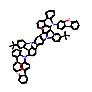 CC(C)(C)c1ccc2c(c1)c1c(N(c3ccc4c(c3)oc3ccccc34)c3ccccc3-c3ccccc3)ccc3c4cc5c(cc4n2c31)c1ccc(N(c2ccc3c(c2)oc2ccccc23)c2ccccc2-c2ccccc2)c2c3cc(C(C)(C)C)ccc3n5c12